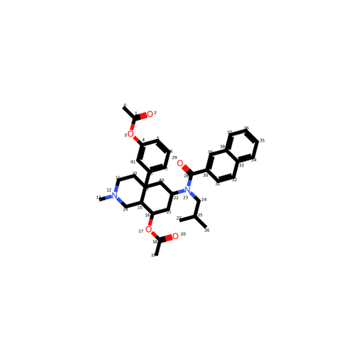 CC(=O)Oc1cccc(C23CCN(C)CC2C(OC(C)=O)CC(N(CC(C)C)C(=O)c2ccc4ccccc4c2)C3)c1